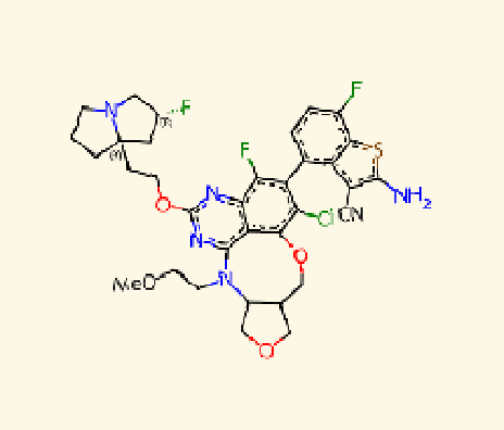 COCCN1c2nc(OCC[C@@]34CCCN3C[C@H](F)C4)nc3c(F)c(-c4ccc(F)c5sc(N)c(C#N)c45)c(Cl)c(c23)OCC2COCC21